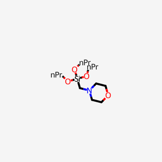 CCCO[Si](CN1CCOCC1)(OCCC)OCCC